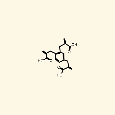 C=C(Cc1ccc(CC(=C)C(=O)O)c(CC(=C)C(=O)O)c1)C(=O)O